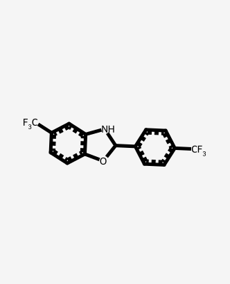 FC(F)(F)c1ccc(C2Nc3cc(C(F)(F)F)ccc3O2)cc1